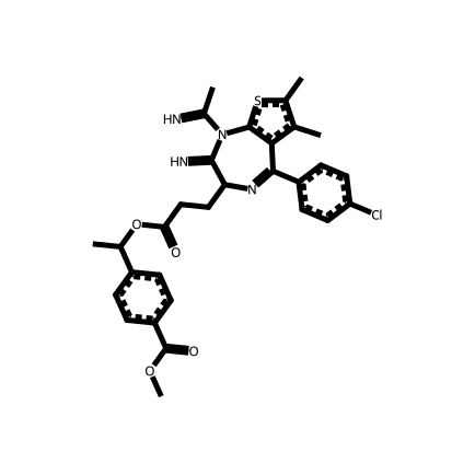 COC(=O)c1ccc(C(C)OC(=O)CCC2N=C(c3ccc(Cl)cc3)c3c(sc(C)c3C)N(C(C)=N)C2=N)cc1